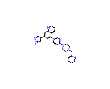 Cn1cc(-c2cc(-c3ccc(N4CCN(Cc5ccccn5)CC4)nc3)c3cccnc3c2)cn1